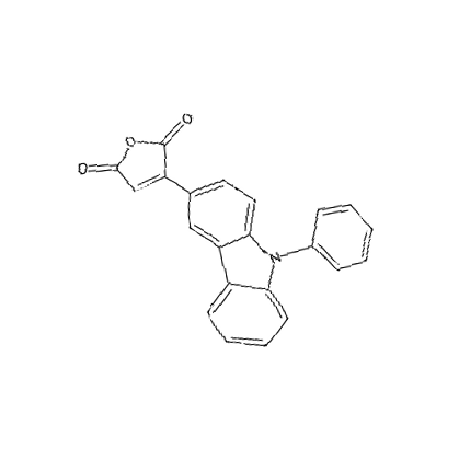 O=C1C=C(c2ccc3c(c2)c2ccccc2n3-c2ccccc2)C(=O)O1